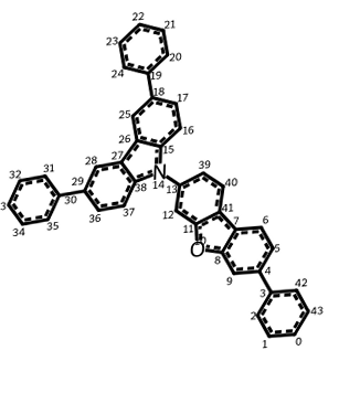 c1ccc(-c2ccc3c(c2)oc2cc(-n4c5ccc(-c6ccccc6)cc5c5cc(-c6ccccc6)ccc54)ccc23)cc1